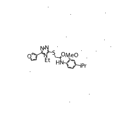 CCn1c(SCC(=O)Nc2ccc(C(C)C)cc2OC)nnc1-c1ccoc1